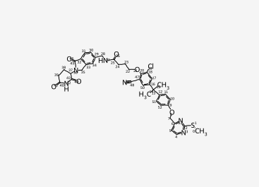 CSc1nccc(COc2ccc(C(C)(C)c3cc(Cl)c(OCCCC(=O)NCc4ccc5c(c4)CN(C4CCC(=O)NC4=O)C5=O)c(C#N)c3)cc2)n1